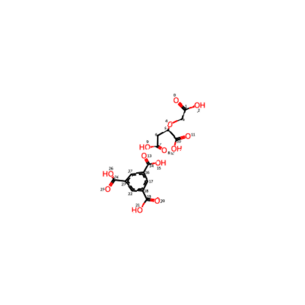 O=C(O)COC(CC(=O)O)C(=O)O.O=C(O)c1cc(C(=O)O)cc(C(=O)O)c1